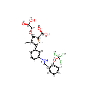 Cc1c(-c2cccc(NCc3ccccc3OC(F)(F)F)c2)sc(C(=O)O)c1OCC(=O)O